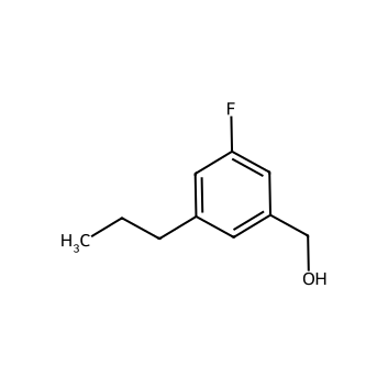 CCCc1cc(F)cc(CO)c1